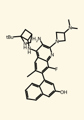 Cc1cc2c(NC3C4CNC3(C(C)(C)C)C4)c(N)c(N3CC(N(C)C)C3)nc2c(F)c1-c1cc(O)cc2ccccc12